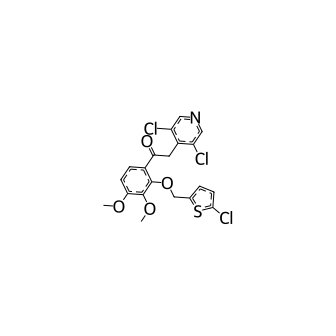 COc1ccc(C(=O)Cc2c(Cl)cncc2Cl)c(OCc2ccc(Cl)s2)c1OC